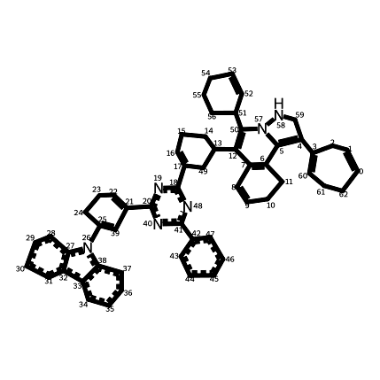 C1=CCC(C2=C3C4=C(C=CCC4)C(C4CCC=C(c5nc(C6=CCCC(n7c8ccccc8c8ccccc87)=C6)nc(-c6ccccc6)n5)C4)=C(C4C=CCCC4)N3NC2)=CCC1